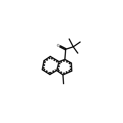 Cc1ccc(C(=O)C(C)(C)C)c2ccccc12